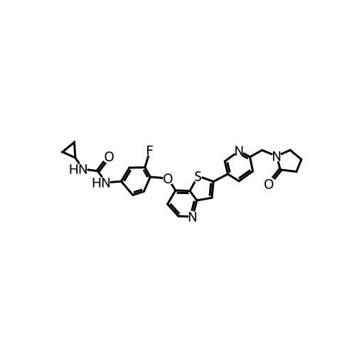 O=C(Nc1ccc(Oc2ccnc3cc(-c4ccc(CN5CCCC5=O)nc4)sc23)c(F)c1)NC1CC1